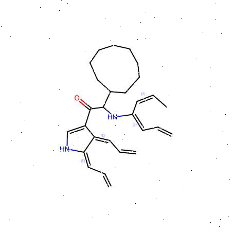 C=C/C=c1/c(C(=O)C(NC(/C=C\C)=C/C=C)C2CCCCCCCC2)c[nH]/c1=C/C=C